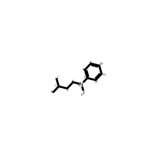 CC(C)CCN(I)c1ccccc1